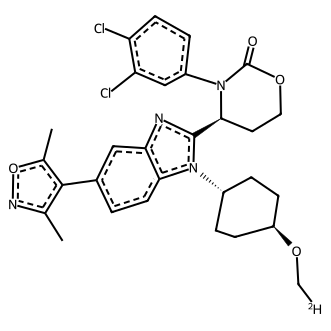 [2H]CO[C@H]1CC[C@H](n2c([C@@H]3CCOC(=O)N3c3ccc(Cl)c(Cl)c3)nc3cc(-c4c(C)noc4C)ccc32)CC1